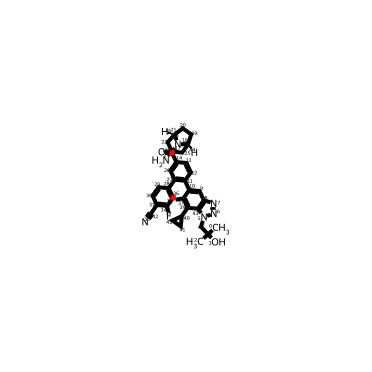 CC(C)(O)Cn1nnc2cc(-c3ccc(C(=O)N4[C@@H]5CC[C@H]4C[C@@H](N)C5)cc3-c3ccc(C#N)c(F)c3)c(F)c(C3CC3)c21